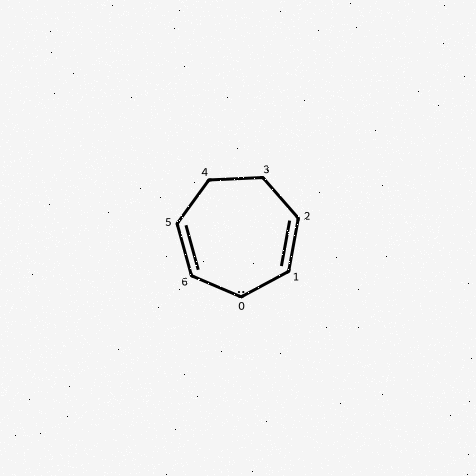 [C]1C=CCCC=C1